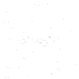 CCn1nccc1C(=O)N[C@H](c1cn2nc(C[C@H]3C[C@@H](C(F)(F)F)CNC3=O)c(C3CCCC(F)(F)C3)nc2n1)C1CCC(F)(F)CC1